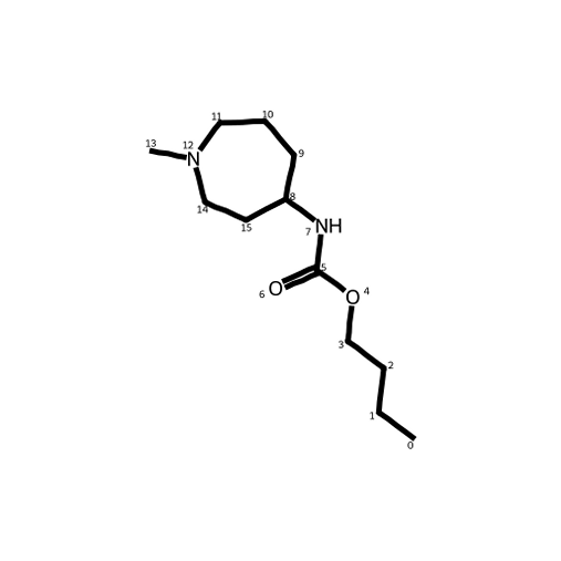 CCCCOC(=O)NC1CCCN(C)CC1